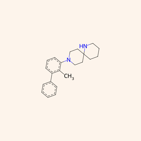 Cc1c(-c2ccccc2)cccc1N1CCC2(CCCCN2)CC1